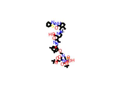 Cc1c(-c2ccc(N3CCc4cccc(C(=O)Nc5nc6ccccc6s5)c4C3)nc2C(=O)O)cnn1CC12CC3(C)CC(C)(C1)CC(OCCN(CCS(=O)(=O)O)C(=O)[C@H](CC(=O)OC(C)(C)C)NC(=O)OC(C)(C)C)(C3)C2